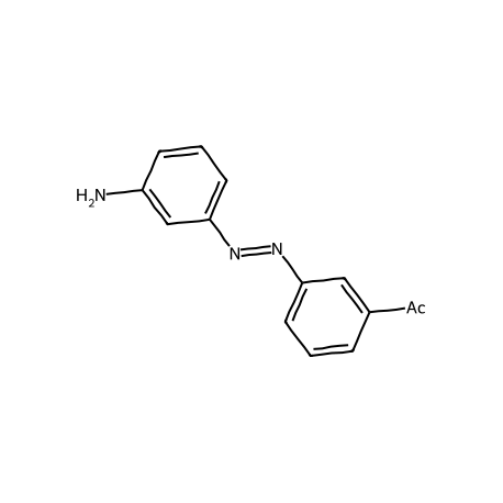 CC(=O)c1cccc(/N=N/c2cccc(N)c2)c1